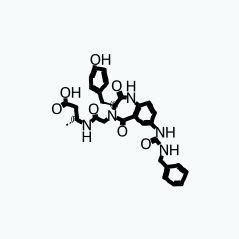 C[C@H](CC(=O)O)NC(=O)CN1C(=O)c2cc(NC(=O)NCc3ccccc3)ccc2NC(=O)[C@@H]1Cc1ccc(O)cc1